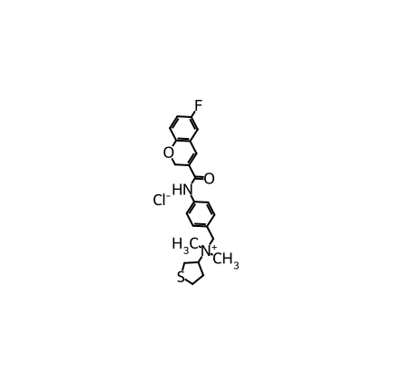 C[N+](C)(Cc1ccc(NC(=O)C2=Cc3cc(F)ccc3OC2)cc1)C1CCSC1.[Cl-]